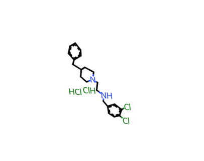 Cl.Cl.Clc1ccc(CNCCN2CCC(Cc3ccccc3)CC2)cc1Cl